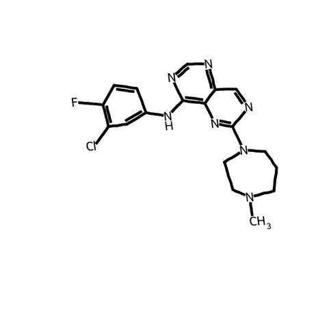 CN1CCCN(c2ncc3ncnc(Nc4ccc(F)c(Cl)c4)c3n2)CC1